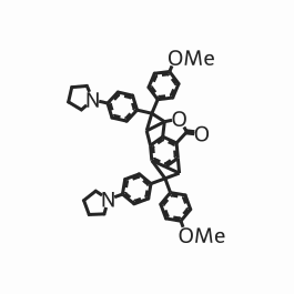 COc1ccc(C2(c3ccc(N4CCCC4)cc3)c3c4c(c5c6c3C3C6(OC5=O)C3(c3ccc(OC)cc3)c3ccc(N5CCCC5)cc3)C42)cc1